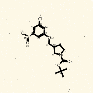 CC(C)(C)OC(=O)N1CCC(COc2cc(Cl)cc([N+](=O)[O-])c2)C1